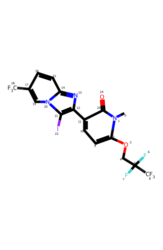 Cn1c(OCC(F)(F)C(F)(F)F)ccc(-c2nc3ccc(C(F)(F)F)cn3c2I)c1=O